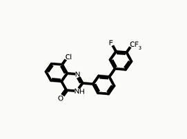 O=c1[nH]c(-c2cccc(-c3ccc(C(F)(F)F)c(F)c3)c2)nc2c(Cl)cccc12